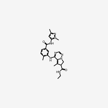 CCNC(=O)C1CN2N=CN=C(Nc3cc(C(=O)Nc4cc(C)nn4C)ccc3C)C2=C1C